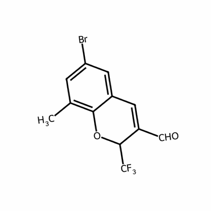 Cc1cc(Br)cc2c1OC(C(F)(F)F)C(C=O)=C2